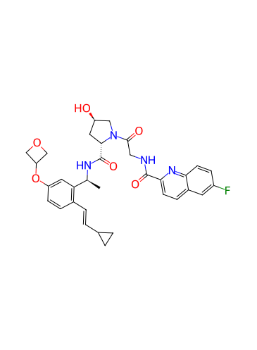 C[C@H](NC(=O)[C@@H]1C[C@@H](O)CN1C(=O)CNC(=O)c1ccc2cc(F)ccc2n1)c1cc(OC2COC2)ccc1/C=C/C1CC1